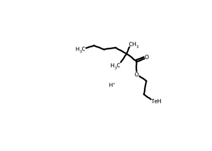 CCCCC(C)(C)C(=O)OCC[TeH].[H+]